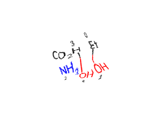 CCO.N.O=C(O)O